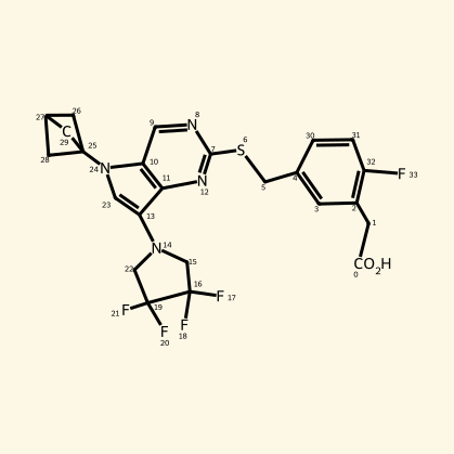 O=C(O)Cc1cc(CSc2ncc3c(n2)c(N2CC(F)(F)C(F)(F)C2)cn3C23CC(C2)C3)ccc1F